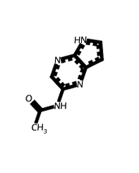 CC(=O)Nc1cnc2[nH]ccc2n1